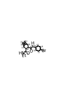 CCNC(=O)C1C(C(=O)Nc2ccc(Br)cc2)C2CCC1C21CC1